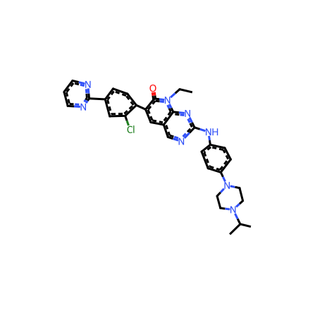 CCn1c(=O)c(-c2ccc(-c3ncccn3)cc2Cl)cc2cnc(Nc3ccc(N4CCN(C(C)C)CC4)cc3)nc21